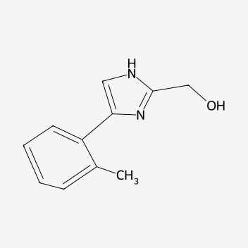 Cc1ccccc1-c1c[nH]c(CO)n1